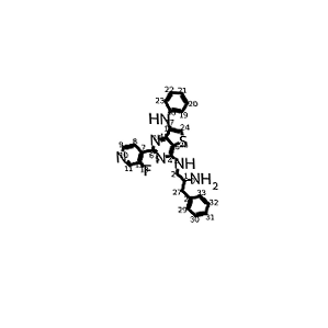 N[C@H](CNc1nc(-c2ccncc2F)nc2c(Nc3ccccc3)csc12)Cc1ccccc1